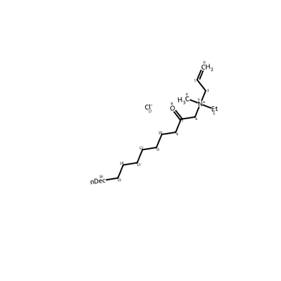 C=CC[N+](C)(CC)CC(=O)CCCCCCCCCCCCCCCCC.[Cl-]